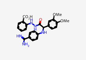 COc1ccc(C(Nc2ccc(C(=N)N)cc2)C(=O)NNc2ccccc2C(=O)O)cc1OC